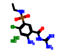 CCNS(=O)(=O)c1cc(C(=O)NC(=N)N)c(N)cc1Cl.Cl.Cl